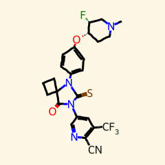 CN1CC[C@H](Oc2ccc(N3C(=S)N(c4cnc(C#N)c(C(F)(F)F)c4)C(=O)C34CCC4)cc2)[C@H](F)C1